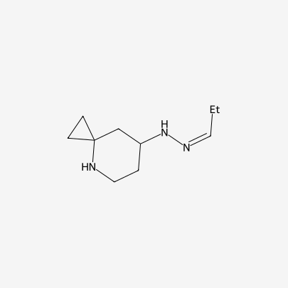 CC/C=N\NC1CCNC2(CC2)C1